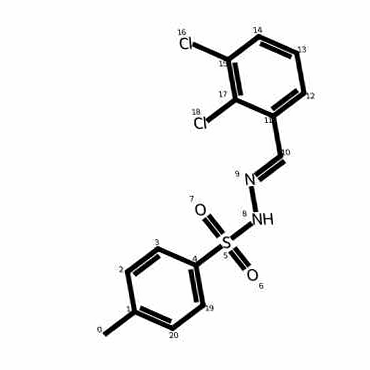 Cc1ccc(S(=O)(=O)NN=Cc2cccc(Cl)c2Cl)cc1